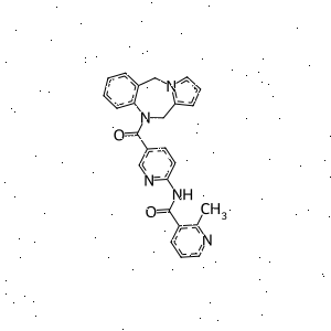 Cc1ncccc1C(=O)Nc1ccc(C(=O)N2Cc3cccn3Cc3ccccc32)cn1